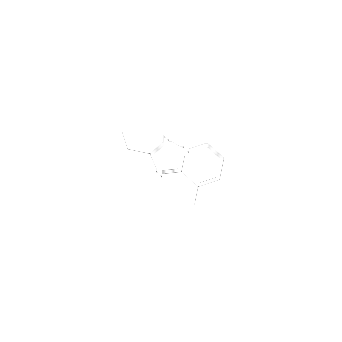 CCc1nc2c(C)cccn2n1